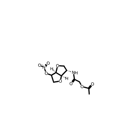 CC(=O)OCC(=O)N[C@H]1CO[C@@H]2C(O[N+](=O)[O-])CO[C@H]12